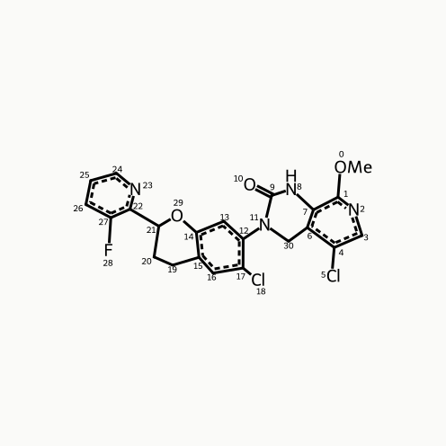 COc1ncc(Cl)c2c1NC(=O)N(c1cc3c(cc1Cl)CCC(c1ncccc1F)O3)C2